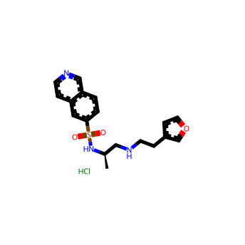 C[C@H](CNCCc1ccoc1)NS(=O)(=O)c1ccc2cnccc2c1.Cl